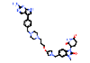 Cn1c(=O)n(C2CCC(=O)NC2=O)c2ccc(CN3CC(OCCCN4CCN(Cc5ccc(-c6c[nH]c7nc(N)ncc67)cc5)CC4)C3)cc21